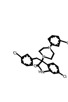 O=C1Nc2cc(Cl)ccc2C1(Cc1cccc(Cl)c1)N1CCN(c2cccc(Cl)c2)CC1